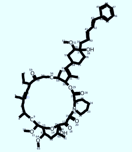 CCC1/C=C(\C)CC(C)CC(OC)C2OC(O)(C(=O)C(=O)N3CCCCC3C(=O)OC(C(C)=CC3CCC(O)(CC=CC=Cc4ccccc4)C(OC)C3)C(C)CCC1=O)C(C)CC2OC